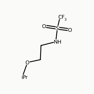 CC(C)OCCNS(=O)(=O)C(F)(F)F